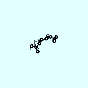 c1ccc(C2=NC(c3ccc4c(c3)sc3ccc(-c5ccc6c(c5)oc5ccc(-n7c8ccccc8c8ccccc87)cc56)cc34)NC(c3ccccc3)N2)cc1